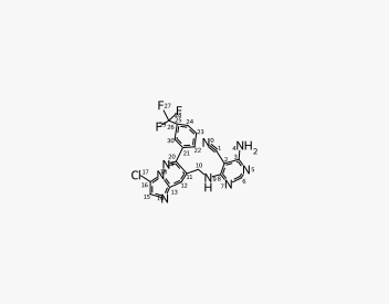 N#Cc1c(N)ncnc1NCc1cc2ncc(Cl)n2nc1-c1cccc(C(F)(F)F)c1